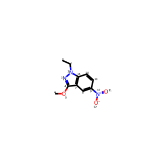 CCn1nc(OC)c2cc([N+](=O)[O-])ccc21